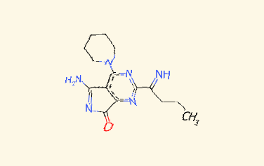 CCCC(=N)c1nc2c(c(N3CCCCC3)n1)C(N)=NC2=O